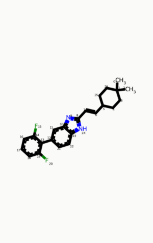 CC1(C)CCC(C=Cc2nc3cc(-c4c(F)cccc4F)ccc3[nH]2)CC1